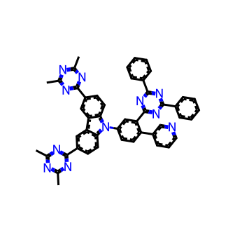 Cc1nc(C)nc(-c2ccc3c(c2)c2cc(-c4nc(C)nc(C)n4)ccc2n3-c2ccc(-c3cccnc3)c(-c3nc(-c4ccccc4)nc(-c4ccccc4)n3)c2)n1